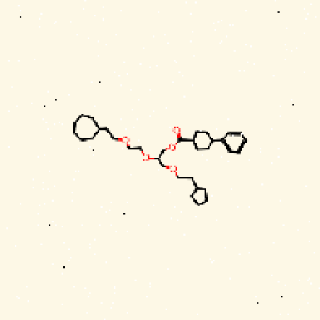 O=C(OCC(COCCC1CCCC1)OCCOCCC1CCCCCC1)C1CCC(c2ccccc2)CC1